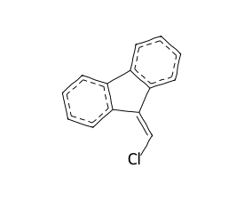 ClC=C1c2ccccc2-c2ccccc21